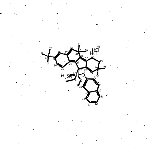 C[CH2][Ti](=[SiH2])([CH2]C)([O]c1ccc2ccccc2c1)[CH]1C2=CC(C)(C)CCC2=C2C1=c1ccc(C(C)(C)C)cc1=CC2(C)C.Cl.Cl